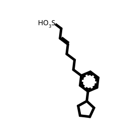 O=S(=O)(O)CC=CCCCc1cccc(C2CCCC2)c1